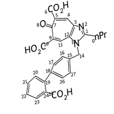 CCCc1nc2cc(C(=O)O)c(=O)c(C(=O)O)cc2n1Cc1ccc(-c2ccccc2C(=O)O)cc1